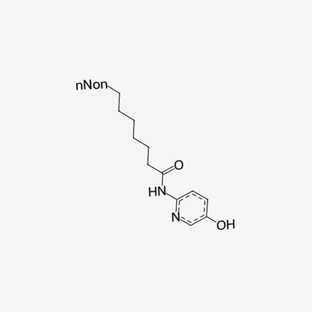 CCCCCCCCCCCCCCCC(=O)Nc1ccc(O)cn1